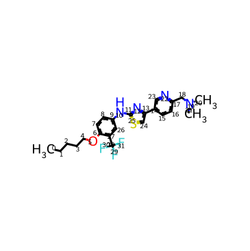 CCCCCOc1ccc(Nc2nc(-c3ccc(CN(C)C)nc3)cs2)cc1C(F)(F)F